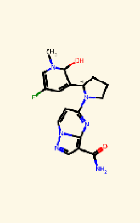 CN1C=C(F)C=C([C@H]2CCCN2c2ccn3ncc(C(N)=O)c3n2)C1O